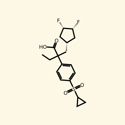 CCC(C[C@H]1C[C@@H](F)[C@@H](F)C1)(C(=O)O)c1ccc(S(=O)(=O)C2CC2)cc1